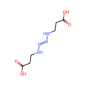 O=C(O)CCNN=NNCCC(=O)O